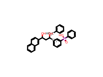 O=C(O)c1ccccc1.O=P(O)(c1ccccc1)c1ccccc1.OC(CC(O)C(F)(F)F)c1ccc2ccccc2c1